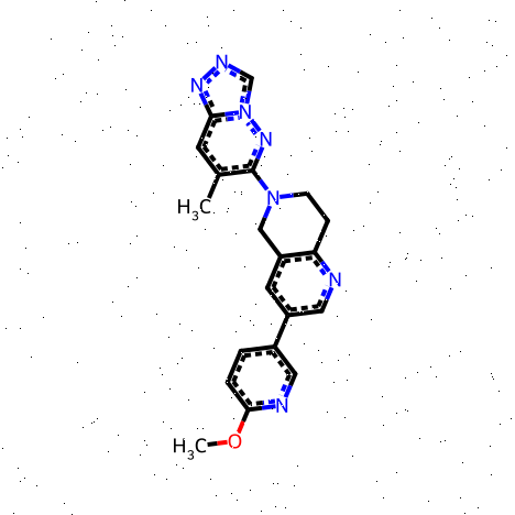 COc1ccc(-c2cnc3c(c2)CN(c2nn4cnnc4cc2C)CC3)cn1